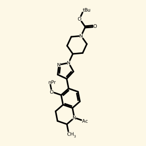 CCCOc1c(-c2cnn(C3CCN(C(=O)OC(C)(C)C)CC3)c2)ccc2c1CCC(C)N2C(C)=O